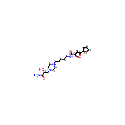 NC(=O)[C@@H](O)CN1CCN(CCCCCNC(=O)c2cc(-c3cccs3)on2)CC1